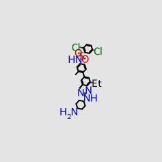 CCc1cc(-c2ccc(NS(=O)(=O)c3cc(Cl)ccc3Cl)cc2C)cc2cnc(N[C@H]3CC[C@H](N)CC3)nc12